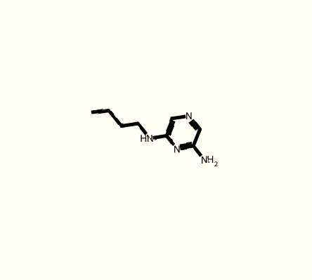 CCCCNc1cncc(N)n1